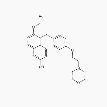 CC(=O)COc1ccc2cc(O)ccc2c1Cc1ccc(OCCN2CCOCC2)cc1